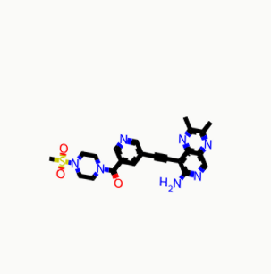 Cc1nc2cnc(N)c(C#Cc3cncc(C(=O)N4CCN(S(C)(=O)=O)CC4)c3)c2nc1C